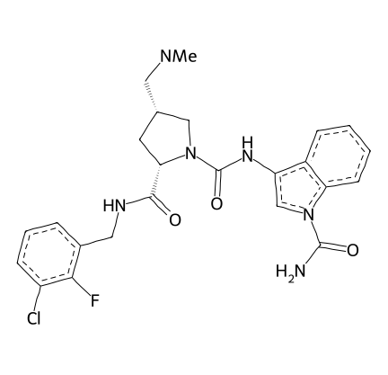 CNC[C@H]1C[C@@H](C(=O)NCc2cccc(Cl)c2F)N(C(=O)Nc2cn(C(N)=O)c3ccccc23)C1